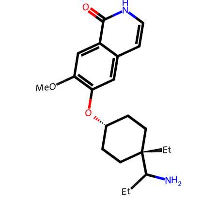 CCC(N)[C@]1(CC)CC[C@H](Oc2cc3cc[nH]c(=O)c3cc2OC)CC1